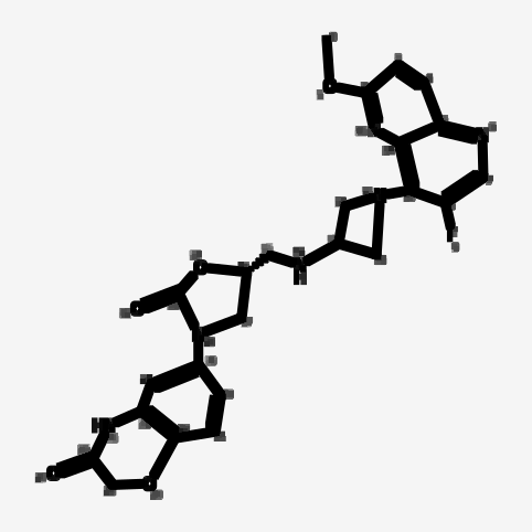 COc1ccc2ncc(F)c(N3CC(NC[C@@H]4CN(c5ccc6c(c5)NC(=O)CO6)C(=O)O4)C3)c2n1